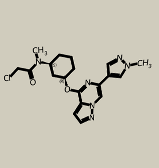 CN(C(=O)CCl)[C@H]1CCC[C@@H](Oc2nc(-c3cnn(C)c3)cn3nccc23)C1